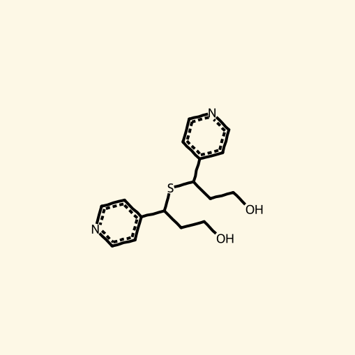 OCCC(SC(CCO)c1ccncc1)c1ccncc1